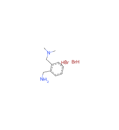 Br.Br.CN(C)Cc1ccccc1CN